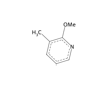 COc1nc[c]cc1C